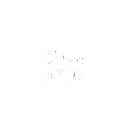 CNC1=Nc2ncccc2C(c2ccco2)=NC1c1sccc1Cl